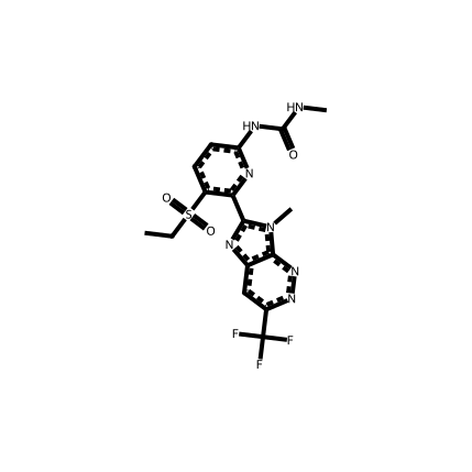 CCS(=O)(=O)c1ccc(NC(=O)NC)nc1-c1nc2cc(C(F)(F)F)nnc2n1C